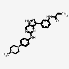 C=CC(=O)Nc1cccc(-c2n[nH]c3cnc(Nc4ccc(N5CCN(C)CC5)cc4)nc23)c1